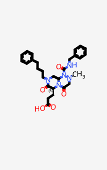 CN1CC(=O)N2C(CN(CCCCc3ccccc3)C(=O)[C@@H]2CCC(=O)O)N1C(=O)NCc1ccccc1